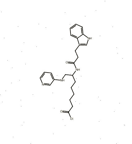 CCC(=O)CCCCCC(CNc1cccnc1)NC(=O)CCc1c[nH]c2ccccc12